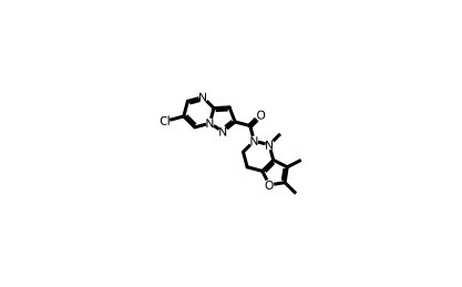 Cc1oc2c(c1C)N(C)N(C(=O)c1cc3ncc(Cl)cn3n1)CC2